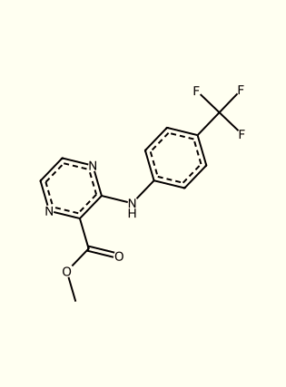 COC(=O)c1nccnc1Nc1ccc(C(F)(F)F)cc1